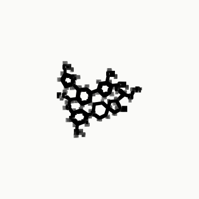 CCCOC(=O)[C@@H]1CC2(CCN(c3cc(O[C@H](c4ccc(-c5ccc(C)c(C)c5)cc4-n4ccc(C)n4)C(F)(F)F)nc(N)n3)CC2)CN1